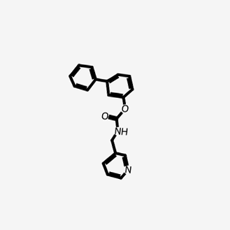 O=C(NCc1cccnc1)Oc1cccc(-c2ccccc2)c1